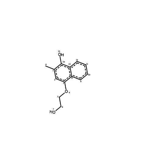 Cc1cc(OCCO)c2ccccc2c1O